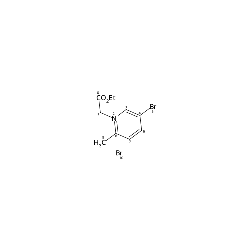 CCOC(=O)C[n+]1cc(Br)ccc1C.[Br-]